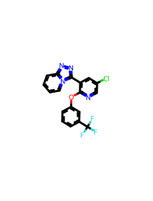 FC(F)(F)c1cccc(Oc2ncc(Cl)cc2-c2nnc3ccccn23)c1